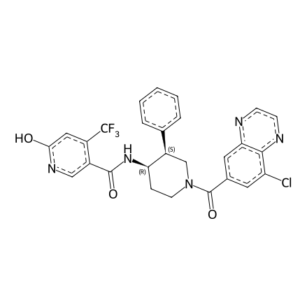 O=C(N[C@@H]1CCN(C(=O)c2cc(Cl)c3nccnc3c2)C[C@@H]1c1ccccc1)c1cnc(O)cc1C(F)(F)F